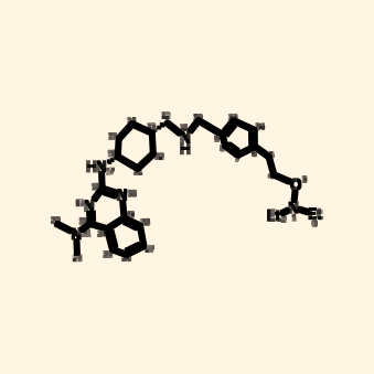 CCN(CC)OCCc1ccc(CNC[C@H]2CC[C@@H](Nc3nc(N(C)C)c4ccccc4n3)CC2)cc1